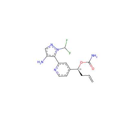 C=CC[C@H](OC(N)=O)c1ccnc(-c2c(N)cnn2C(F)F)c1